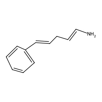 NC=CCC=Cc1ccccc1